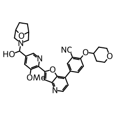 COc1cc(C(O)N2CC3CCC(C2)O3)cnc1-c1cc2nccc(-c3ccc(OC4CCOCC4)c(C#N)c3)c2o1